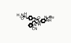 CC[C@H](C)c1nc2cc(NC(=O)N(Cc3ccc(CNC(N)=O)cc3)[C@H](Cc3cccc(C#N)c3)C(N)=O)ccc2[nH]1